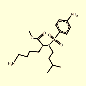 COC(=O)[C@H](CCCCN)N(CCC(C)C)S(=O)(=O)c1ccc(N)cc1